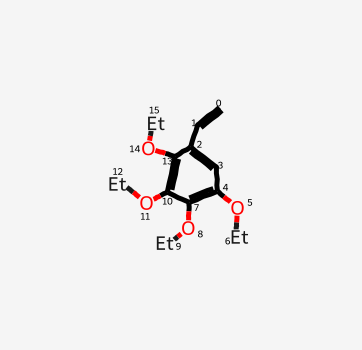 C=Cc1cc(OCC)c(OCC)c(OCC)c1OCC